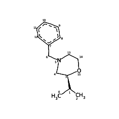 CC(C)[C@H]1CN(Cc2ccccc2)CCO1